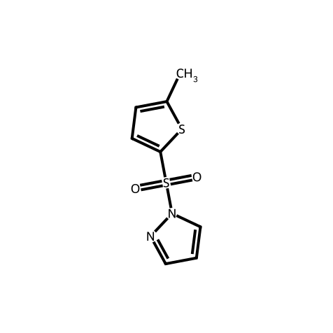 Cc1ccc(S(=O)(=O)n2cccn2)s1